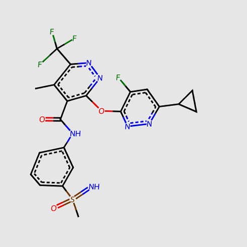 Cc1c(C(F)(F)F)nnc(Oc2nnc(C3CC3)cc2F)c1C(=O)Nc1cccc(S(C)(=N)=O)c1